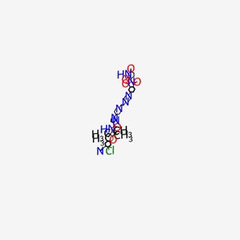 CC1(C)C(NC(=O)c2ccn(C3CCN(CCN4CCN(c5ccc6c(c5)C(=O)N(C5CCC(=O)NC5=O)C6=O)CC4)CC3)n2)C(C)(C)C1Oc1ccc(C#N)c(Cl)c1